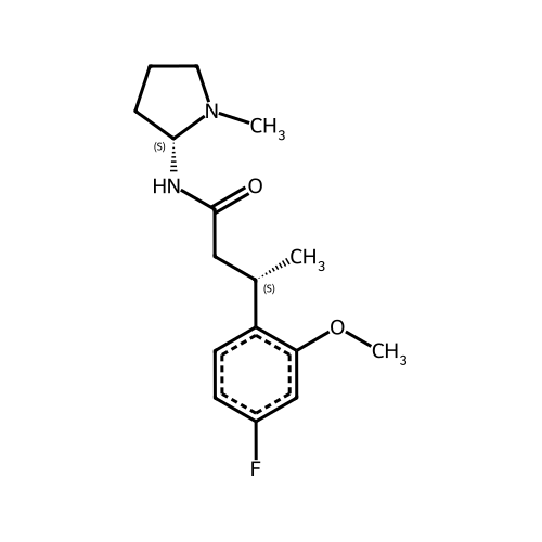 COc1cc(F)ccc1[C@@H](C)CC(=O)N[C@@H]1CCCN1C